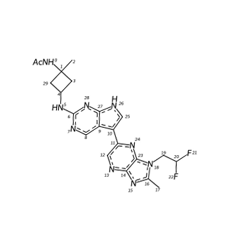 CC(=O)NC1(C)CC(Nc2ncc3c(-c4cnc5nc(C)n(CC(F)F)c5n4)c[nH]c3n2)C1